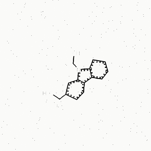 CCc1ccc2c3ccccc3n(CC)c2c1